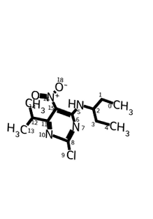 CCC(CC)Nc1nc(Cl)nc(C(C)C)c1[N+](=O)[O-]